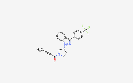 CC#CC(=O)N1CCC(n2nc(-c3ccc(C(F)(F)F)cc3)c3ccccc32)C1